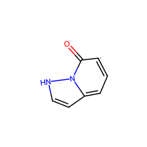 O=c1[c]ccc2cc[nH]n12